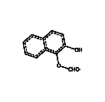 O=[C]Oc1c(O)ccc2ccccc12